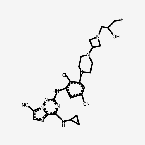 N#Cc1cc(Nc2nc(NC3CC3)c3ncc(C#N)n3n2)c(Cl)c(N2CCN(C3CN(CC(O)CF)C3)CC2)c1